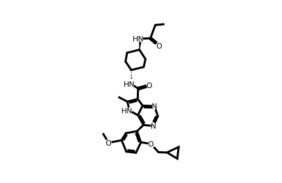 CCC(=O)N[C@H]1CC[C@H](NC(=O)c2c(C)[nH]c3c(-c4cc(OC)ccc4OCC4CC4)ncnc23)CC1